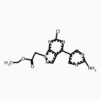 CCOC(=O)Cn1ncc2c(-c3cnc(N)nc3)nc(Cl)nc21